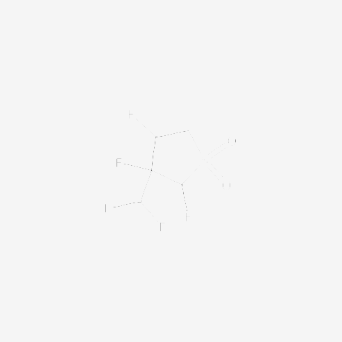 O=S1(=O)CC(F)C(F)(C(F)F)C1F